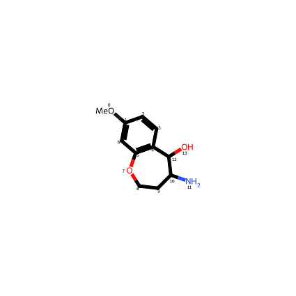 COc1ccc2c(c1)OCCC(N)C2O